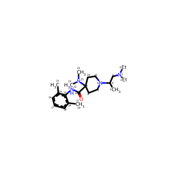 CCN(CC)CC(C)N1CCC(C(=O)Nc2c(C)cccc2C)(N(C)C)CC1